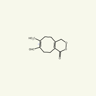 O=C/C1=C(\C(=O)O)CCC2=C(CC1)C(=O)OOC2